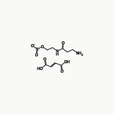 NCCC(=O)NCCO[N+](=O)[O-].O=C(O)C=CC(=O)O